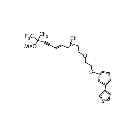 CCN(C/C=C/C#CC(OC)(C(F)(F)F)C(F)(F)F)CCOCCOc1cccc(-c2ccsc2)c1